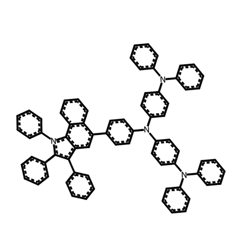 c1ccc(-c2c(-c3ccccc3)n(-c3ccccc3)c3c2cc(-c2ccc(N(c4ccc(N(c5ccccc5)c5ccccc5)cc4)c4ccc(N(c5ccccc5)c5ccccc5)cc4)cc2)c2ccccc23)cc1